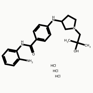 CC(C)(O)CN1CCC(Nc2ccc(C(=O)Nc3ccccc3N)cc2)C1.Cl.Cl.Cl